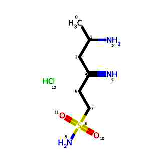 CC(N)CC(=N)CCS(N)(=O)=O.Cl